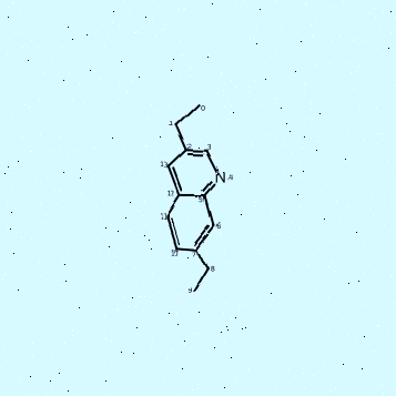 CCc1cnc2cc(CC)ccc2c1